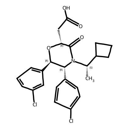 C[C@@H](C1CCC1)N1C(=O)[C@@H](CC(=O)O)O[C@H](c2cccc(Cl)c2)[C@H]1c1ccc(Cl)cc1